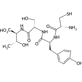 C[C@@H](O)[C@H](NC(=O)[C@H](CO)NC(=O)[C@H](Cc1ccc(O)cc1)NC(=O)[C@@H](N)CS)C(=O)O